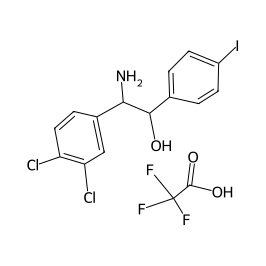 NC(c1ccc(Cl)c(Cl)c1)C(O)c1ccc(I)cc1.O=C(O)C(F)(F)F